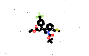 CCOC(=O)CC(c1ccc(C(F)(F)F)cc1)c1cn(C(=O)OC(C)(C)C)c2c(CSC)cccc12